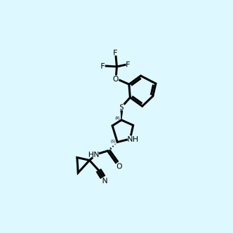 N#CC1(NC(=O)[C@@H]2C[C@@H](Sc3ccccc3OC(F)(F)F)CN2)CC1